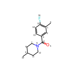 Cc1cc(C(=O)N2CCC(C)CC2)ccc1F